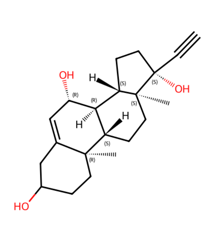 C#C[C@]1(O)CC[C@H]2[C@@H]3[C@@H](O)C=C4CC(O)CC[C@]4(C)[C@H]3CC[C@@]21C